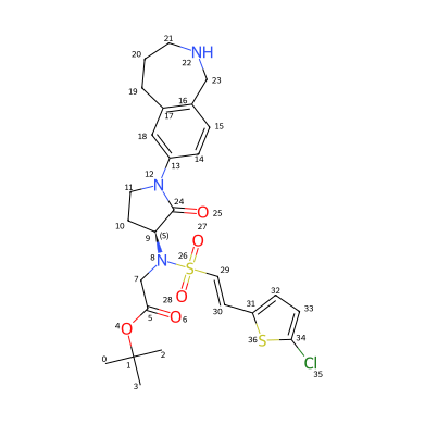 CC(C)(C)OC(=O)CN([C@H]1CCN(c2ccc3c(c2)CCCNC3)C1=O)S(=O)(=O)C=Cc1ccc(Cl)s1